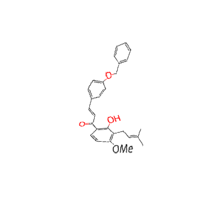 COc1ccc(C(=O)C=Cc2ccc(OCc3ccccc3)cc2)c(O)c1CC=C(C)C